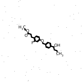 CCCC(O)c1ccc(COc2ccc(CCC(=O)OCC)c(F)c2)cc1